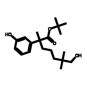 CC(C)(CO)CCCC(C)(C(=O)OC(C)(C)C)c1cccc(O)c1